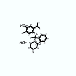 Cc1cc(OC(C)(c2ccccc2Cl)N2CCNCC2)c(C(C)C)cc1O.Cl